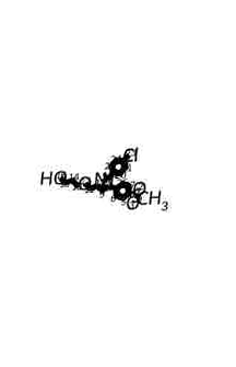 CS(=O)(=O)c1ccc(-c2cc(COCCCO)nn2-c2ccc(Cl)cc2)cc1